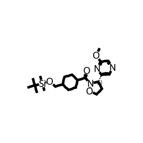 COc1cncc([C@@H]2CCON2C(=O)C2CCC(CO[Si](C)(C)C(C)(C)C)CC2)n1